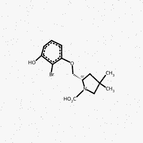 CC1(C)C[C@@H](COc2cccc(O)c2Br)N(C(=O)O)C1